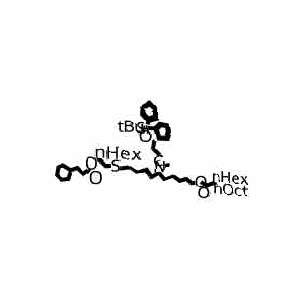 CCCCCCCCC(CCCCCC)C(=O)OCCCCCC(CCCCCSCC(CCCCCC)OC(=O)CCC1CCCCC1)N(C)CCCCO[Si](c1ccccc1)(c1ccccc1)C(C)(C)C